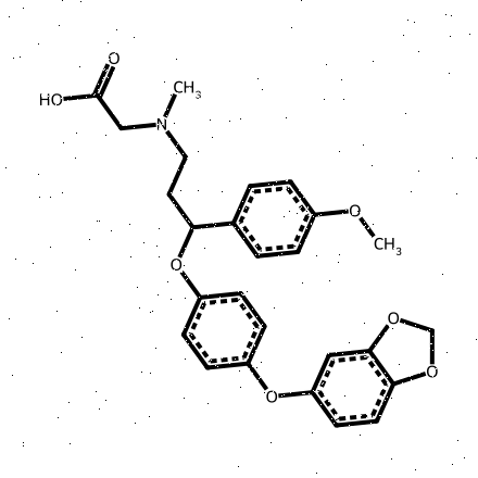 COc1ccc(C(CCN(C)CC(=O)O)Oc2ccc(Oc3ccc4c(c3)OCO4)cc2)cc1